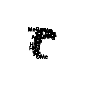 COc1ccc(NC(=O)Nc2ccc(C(CCNC(=O)c3ccccc3O)c3cc(OC)c(OC)cc3C(C)=O)cc2)cc1